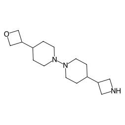 C1CN(N2CCC(C3COC3)CC2)CCC1C1CNC1